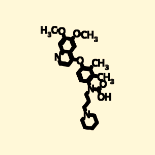 COc1cc2nccc(Oc3ccc(N(CCCN4CCCCC4)C(=O)O)c(C)c3C)c2cc1OC